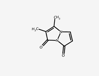 Cc1c(C)n2ccc(=O)n2c1=O